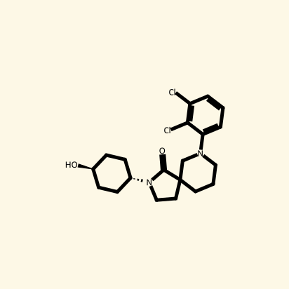 O=C1N([C@H]2CC[C@H](O)CC2)CCC12CCCN(c1cccc(Cl)c1Cl)C2